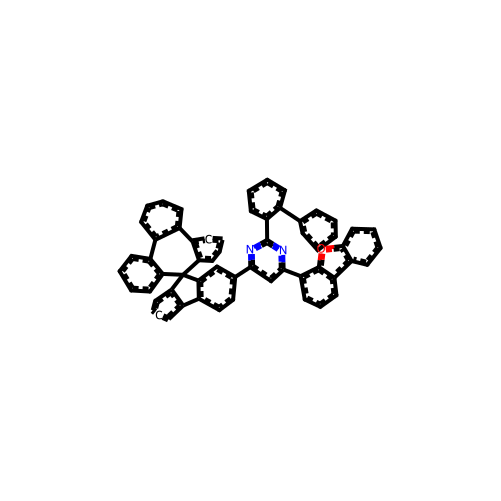 c1ccc(-c2ccccc2-c2nc(-c3ccc4c(c3)C3(c5ccccc5-c5ccccc5-c5ccccc53)c3ccccc3-4)cc(-c3cccc4c3oc3ccccc34)n2)cc1